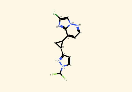 FC(F)n1ccc([C@H]2CC2c2ccnn3cc(Cl)nc23)n1